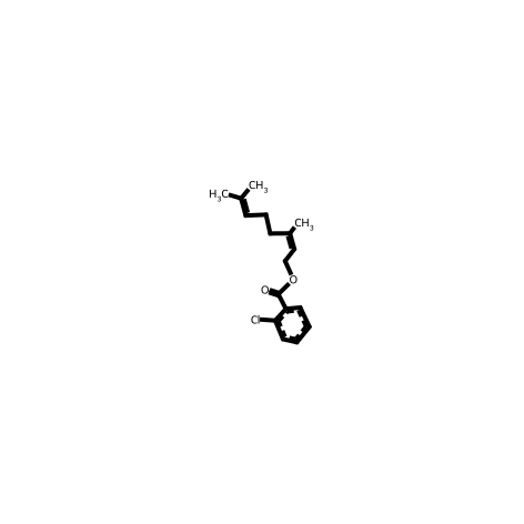 CC(C)=CCCC(C)=CCOC(=O)c1ccccc1Cl